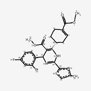 COC(=O)C1=CC[C@H](C2=C(C(=O)OC)C(c3ccc(F)cc3Br)N=C(c3nc(C)cs3)N2)CC1